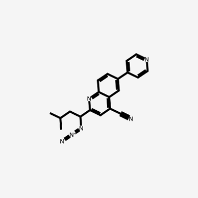 CC(C)CC(N=[N+]=[N-])c1cc(C#N)c2cc(-c3ccncc3)ccc2n1